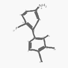 Cc1ccc(-c2cc(N)ccc2F)c(C)c1C